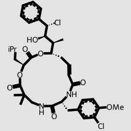 COc1ccc(C[C@H]2NC(=O)/C=C/C[C@@H]([C@H](C)[C@@H](O)[C@@H](Cl)c3ccccc3)OC(=O)[C@H](CC(C)C)OC(=O)C(C)(C)CNC2=O)cc1Cl